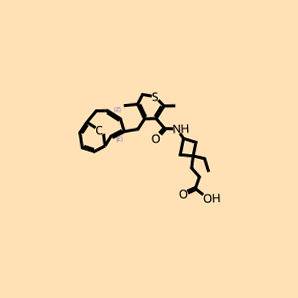 CCC1(CCC(=O)O)CC(NC(=O)C2=C(C)SCC(C)=C2CC2=C\C3C=CC=C(C/C=C\2)CC3)C1